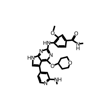 CNC(=O)c1ccc(Nc2nc(OC3CCOCC3)c3c(-c4ccnc(NC)c4)c[nH]c3n2)c(OC)c1